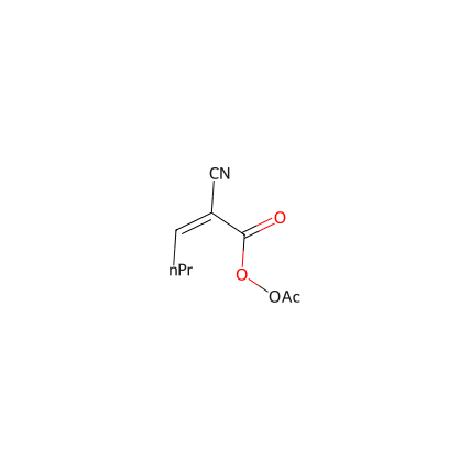 CCCC=C(C#N)C(=O)OOC(C)=O